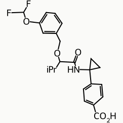 CC(C)C(OCc1cccc(OC(F)F)c1)C(=O)NC1(c2ccc(C(=O)O)cc2)CC1